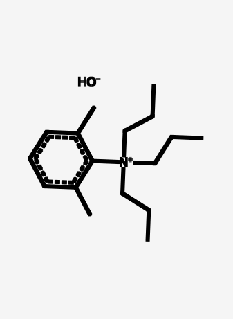 CCC[N+](CCC)(CCC)c1c(C)cccc1C.[OH-]